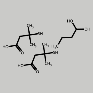 CC(C)(S)CC(=O)O.CC(C)(S)CC(=O)O.CCCC(O)O